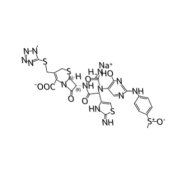 Cn1nnnc1SCC1=C(C(=O)[O-])N2C(=O)[C@@H](NC(=O)C(c3csc(=N)[nH]3)N(C(N)=O)c3cnc(Nc4ccc([S+](C)[O-])cc4)nc3O)[C@@H]2SC1.[Na+]